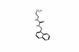 O=C(O)CCNC(=O)NCc1cccc2ccccc12